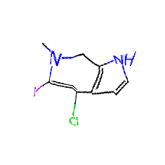 CN1Cc2[nH]ccc2C(Cl)=C1I